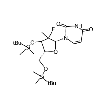 CC1(F)C(O[Si](C)(C)C(C)(C)C)[C@@H](CO[Si](C)(C)C(C)(C)C)O[C@H]1n1ccc(=O)[nH]c1=O